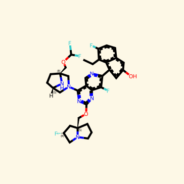 CCc1c(F)ccc2cc(O)cc(-c3ncc4c(N5C[C@@H]6CC[C@](COC(F)F)(C5)N6)nc(OC[C@@]56CCCN5C[C@H](F)C6)nc4c3F)c12